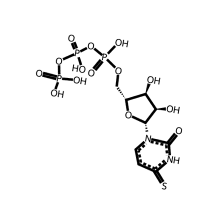 O=c1[nH]c(=S)ccn1[C@@H]1O[C@H](COP(=O)(O)OP(=O)(O)OP(=O)(O)O)[C@@H](O)[C@H]1O